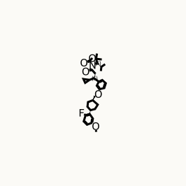 COc1ccc(F)c([C@H]2CC[C@H](COc3cccc([C@@H](CC(=O)N4C(=O)OC(C)(C)[C@@H]4C(C)C)C4CC4)c3)CC2)c1